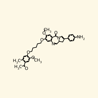 COc1cc(C(C)=O)c(C)cc1OCCCCCOc1cc2c(cc1OC)C(=O)N1C=C(c3ccc(N)cc3)CC1C=N2